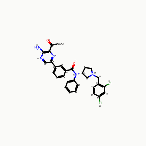 CNC(=O)c1nc(-c2cccc(C(=O)N(c3ccccc3)[C@@H]3CCN(Cc4ccc(Cl)cc4Cl)C3)c2)cnc1N